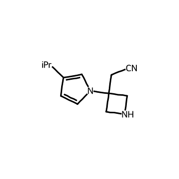 CC(C)c1ccn(C2(CC#N)CNC2)c1